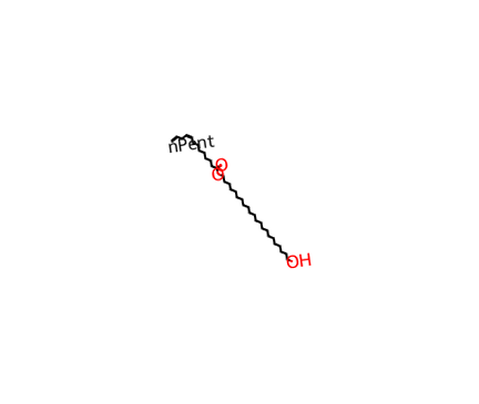 CCCCC/C=C\C/C=C\CCCCCCCC(=O)OCCCCCCCCCCCCCCCCCCCCCCO